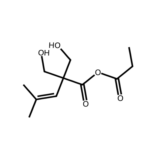 CCC(=O)OC(=O)C(C=C(C)C)(CO)CO